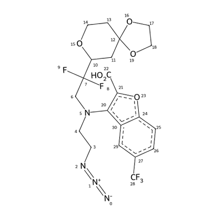 [N-]=[N+]=NCCN(CC(F)(F)C1CC2(CCO1)OCCO2)c1c(C(=O)O)oc2ccc(C(F)(F)F)cc12